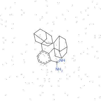 N=C(N)c1cccc(C23CC4CC(CC(C4)C2)C3)c1C12CC3CC(CC(C3)C1)C2